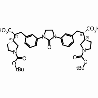 CC(C)(C)OC(=O)N1CC[C@H]([C@H](Cc2cccc(N3CCN(c4cccc(C[C@H](C(=O)O)[C@H]5CCN(C(=O)OC(C)(C)C)C5)c4)C3=O)c2)C(=O)O)C1